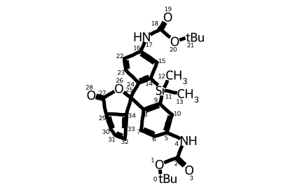 CC(C)(C)OC(=O)Nc1ccc2c(c1)[Si](C)(C)c1cc(NC(=O)OC(C)(C)C)ccc1C21OC(=O)c2ccccc21